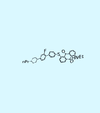 CCCC1CCC(c2ccc(-c3ccc(Sc4cccc5c4C(=O)c4cccc(NCC)c4C5=O)cc3)c(F)c2)CC1